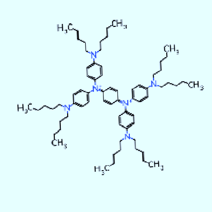 CCCCCN(CCCCC)c1ccc([N+](=C2C=CC(=[N+](c3ccc(N(CCCCC)CCCCC)cc3)c3ccc(N(CCCCC)CCCCC)cc3)C=C2)c2ccc(N(CCCCC)CCCCC)cc2)cc1